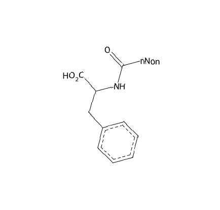 CCCCCCCCCC(=O)NC(Cc1ccccc1)C(=O)O